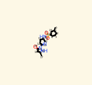 Cc1cccc(S(=O)(=O)Nc2ccc(-n3[nH]c(C)cc3=O)nc2)c1